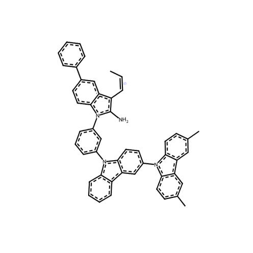 C/C=C\c1c(N)n(-c2cccc(-n3c4ccccc4c4cc(-n5c6ccc(C)cc6c6cc(C)ccc65)ccc43)c2)c2ccc(-c3ccccc3)cc12